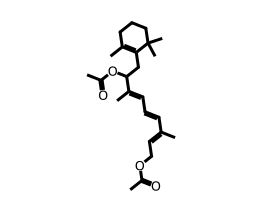 CC(=O)OCC=C(C)C=CC=C(C)C(CC1=C(C)CCCC1(C)C)OC(C)=O